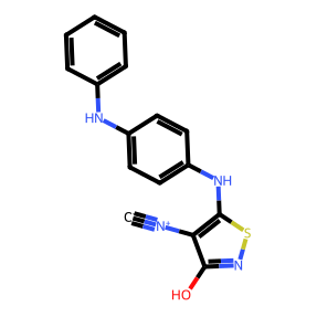 [C-]#[N+]c1c(O)nsc1Nc1ccc(Nc2ccccc2)cc1